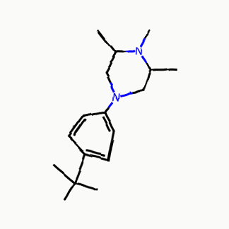 CC1CN(c2ccc(C(C)(C)C)cc2)CC(C)N1C